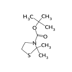 CC(C)(C)OC(=O)N1CCSC1(C)C